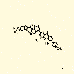 CN1CCN(c2ccc(Nc3nc(-c4ccnc(N5CCn6c(cc7c6CC(C)(C)C7)C5=O)c4CO)cn(C)c3=O)cc2N)CC1